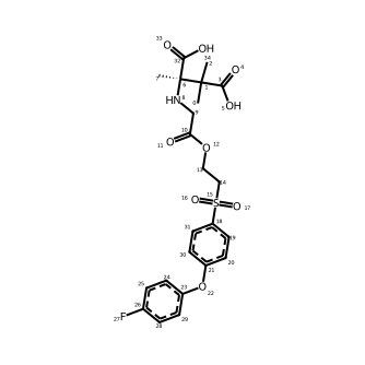 CC(C)(C(=O)O)[C@@](C)(NCC(=O)OCCS(=O)(=O)c1ccc(Oc2ccc(F)cc2)cc1)C(=O)O